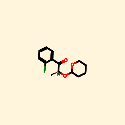 C[C@@H](OC1CCCCO1)C(=O)c1ccccc1F